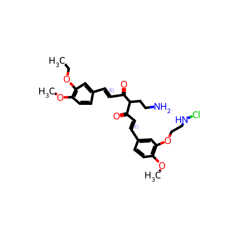 CCOc1cc(/C=C/C(=O)C(CCN)C(=O)/C=C/c2ccc(OC)c(OCCNCl)c2)ccc1OC